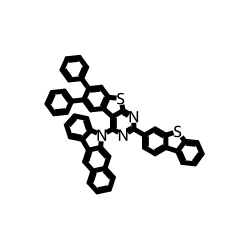 c1ccc(-c2cc3sc4nc(-c5ccc6c(c5)sc5ccccc56)nc(-n5c6ccccc6c6cc7ccccc7cc65)c4c3cc2-c2ccccc2)cc1